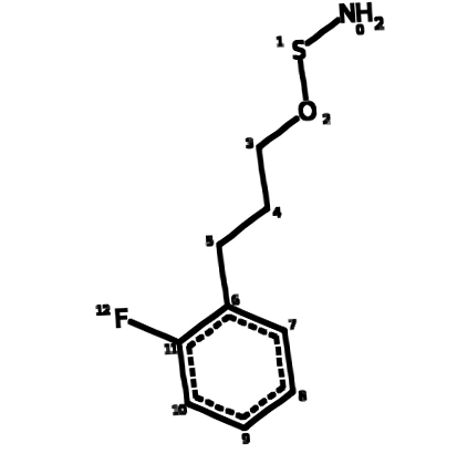 NSOCCCc1ccccc1F